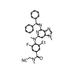 CCc1cc(C(=O)N(C)CC#N)cc(F)c1N(C)c1cc2c(ncn2C)c(N=C(c2ccccc2)c2ccccc2)n1